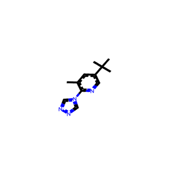 Cc1cc(C(C)(C)C)cnc1-n1cnnc1